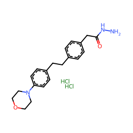 Cl.Cl.NNC(=O)Cc1ccc(CCc2ccc(N3CCOCC3)cc2)cc1